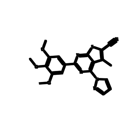 COc1cc(-c2nc(-n3cccn3)c3c(C)c(C#N)sc3n2)cc(OC)c1OC